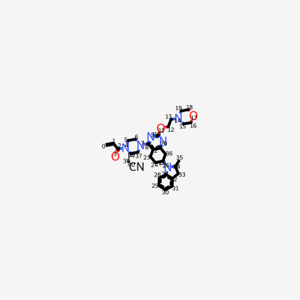 C=CC(=O)N1CCN(c2nc(OCCN3CCOCC3)nc3c2CC[C@H](N2c4ccccc4CC2C)C3)C[C@@H]1CC#N